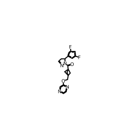 O=C(N1N=CCC1c1cc(F)cc(F)c1)C12CC(COc3cnccn3)(C1)C2